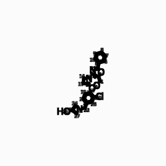 O=CC1OC(c2ccccc2)=NN1N1CCC1Oc1ccc(CN2CC(O)C2)cc1Cl